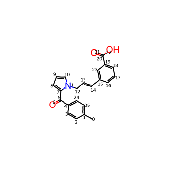 Cc1ccc(C(=O)c2cccn2C/C=C/c2cccc(C(=O)O)c2)cc1